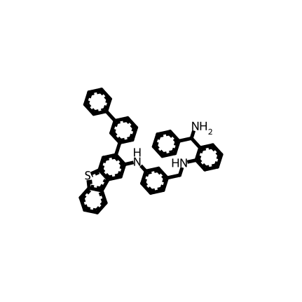 NC(c1ccccc1)c1ccccc1NCc1cccc(Nc2cc3c(cc2-c2cccc(-c4ccccc4)c2)sc2ccccc23)c1